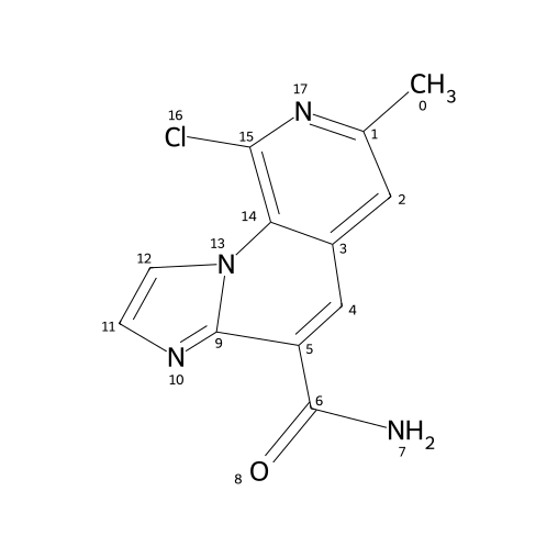 Cc1cc2cc(C(N)=O)c3nccn3c2c(Cl)n1